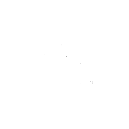 CCN1CCN(CN2CCNCC2)CC1